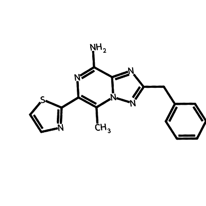 Cc1c(-c2nccs2)nc(N)c2nc(Cc3ccccc3)nn12